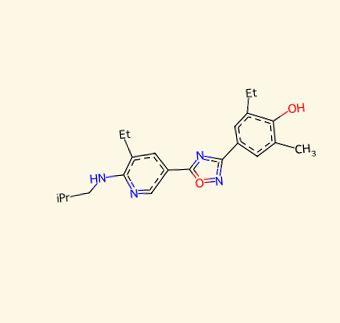 CCc1cc(-c2nc(-c3cc(C)c(O)c(CC)c3)no2)cnc1NCC(C)C